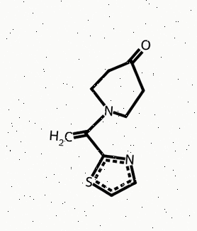 C=C(c1nccs1)N1CCC(=O)CC1